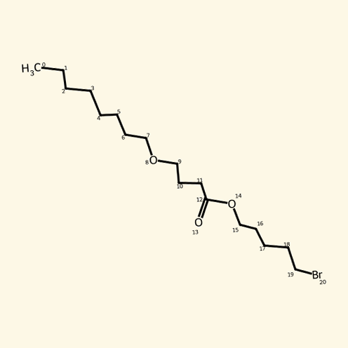 CCCCCCCCOCCCC(=O)OCCCCCBr